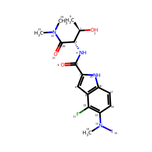 C[C@@H](O)[C@H](NC(=O)c1cc2c(F)c(N(C)I)ccc2[nH]1)C(=O)N(C)C